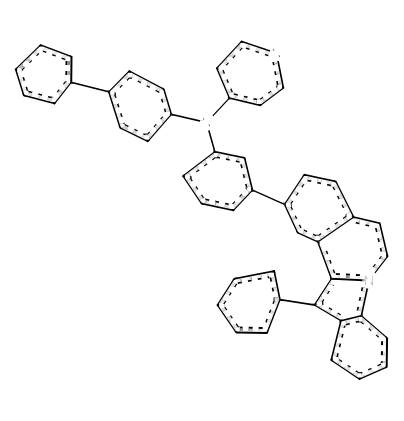 c1ccc(-c2ccc(N(c3ccncc3)c3cccc(-c4ccc5ccn6c7ccccc7c(-c7ccccc7)c6c5c4)c3)cc2)cc1